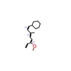 C=C\C(=C/C=C(C)/C=C\C1CCCCC1)OC